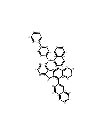 c1ccc(-c2ccc(N(c3cccc4ccccc34)c3cccc4oc5c(-c6ccc7ccccc7c6)c6ccccc6cc5c34)cc2)cc1